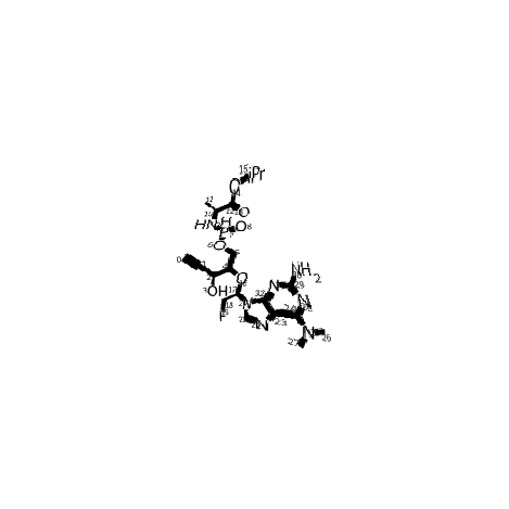 C#C[C@H](O)C(CO[PH](=O)N[C@@H](C)C(=O)OC(C)C)O[C@H](CF)n1cnc2c(N(C)C)nc(N)nc21